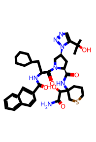 CC(C)(O)c1cnnn1[C@H]1C[C@@H](C(=O)NC2(C(O)C(N)=O)CCCSC2)N(C(=O)C(CC2CCCCC2)NC(=O)c2ccc3ccccc3c2)C1